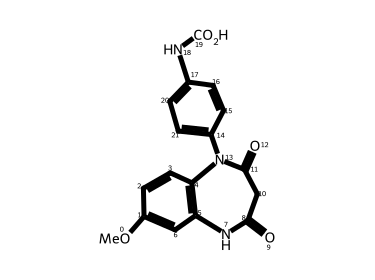 COc1ccc2c(c1)NC(=O)CC(=O)N2c1ccc(NC(=O)O)cc1